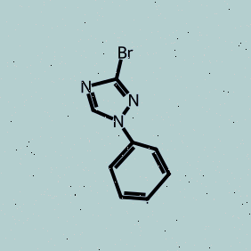 Brc1ncn(-c2cc[c]cc2)n1